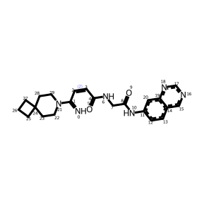 N=C(/C=C\C(=O)NCC(=O)Nc1ccc2cncnc2c1)N1CCC2(CCC2)CC1